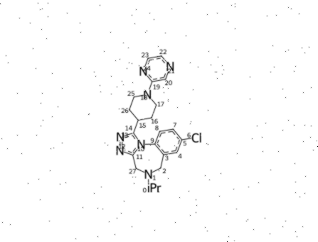 CC(C)N1Cc2cc(Cl)ccc2-n2c(nnc2C2CCN(c3cnccn3)CC2)C1